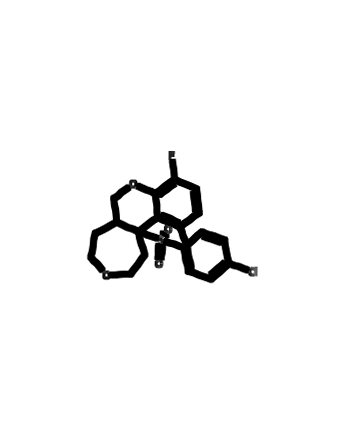 O=S(=O)(c1ccc(Cl)cc1)C12CCOCCC1COc1c(F)ccc(F)c12